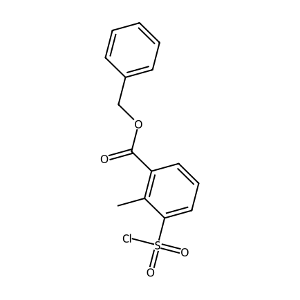 Cc1c(C(=O)OCc2ccccc2)cccc1S(=O)(=O)Cl